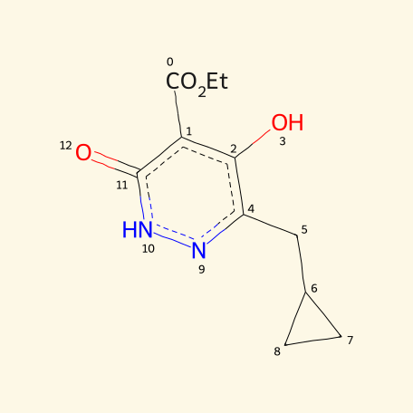 CCOC(=O)c1c(O)c(CC2CC2)n[nH]c1=O